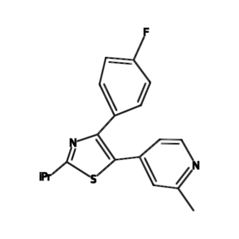 Cc1cc(-c2sc(C(C)C)nc2-c2ccc(F)cc2)ccn1